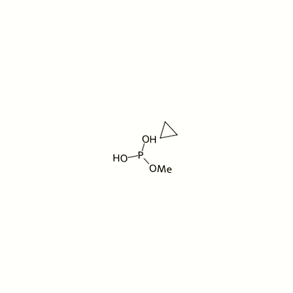 C1CC1.COP(O)O